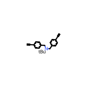 C#Cc1ccc(CN(Cc2ccc(C#C)cc2)C(C)(C)C)cc1